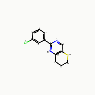 Clc1cccc(-c2n[c]c3c(n2)CCCS3)c1